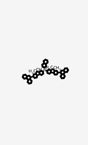 CC1(C)c2cc(-c3cc4ccccc4c4ccccc34)ccc2-c2ccc(N(c3ccc4c(c3)C(C)(C)c3cc(-c5cc6ccccc6c6ccccc56)ccc3-4)c3ccc4ccccc4c3)cc21